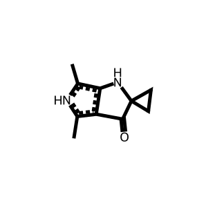 Cc1[nH]c(C)c2c1NC1(CC1)C2=O